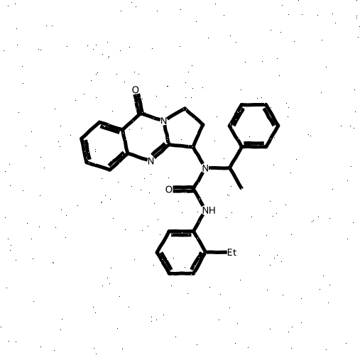 CCc1ccccc1NC(=O)N(C(C)c1ccccc1)C1CCn2c1nc1ccccc1c2=O